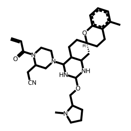 C=CC(=O)N1CCN(C2NC(OCC3CCCN3C)NC3C[C@]4(CCc5c(C)cccc5O4)CCC32)CC1CC#N